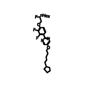 CCCCCCC(F)COc1ccc(-c2ncc(OCCCCCC3CCCC3)cn2)c(F)c1F